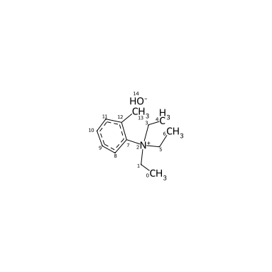 CC[N+](CC)(CC)c1ccccc1C.[OH-]